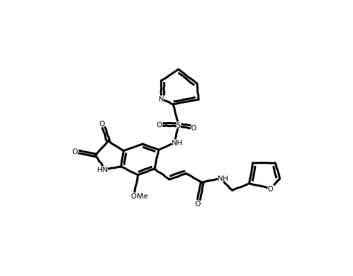 COc1c(C=CC(=O)NCc2ccco2)c(NS(=O)(=O)c2ccccn2)cc2c1NC(=O)C2=O